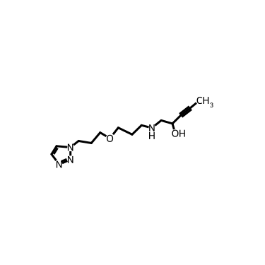 CC#CC(O)CNCCCOCCCn1ccnn1